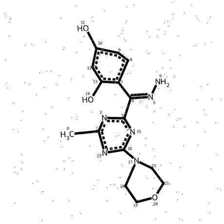 Cc1nc(/C(=N/N)c2ccc(O)cc2O)nc(N2CCOCC2)n1